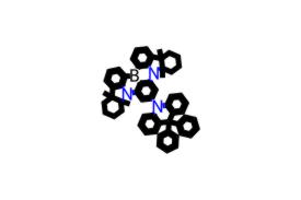 CC12CCCCC1(C)N1c3cc(N4c5ccccc5C(c5ccccc5)(c5ccccc5)c5ccccc54)cc4c3B(c3cccc2c31)c1cccc2c1N4C1(C)CCCCC21C